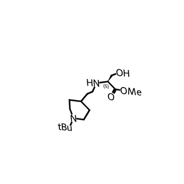 COC(=O)[C@H](CO)NCCC1CCN(C(C)(C)C)CC1